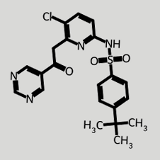 CC(C)(C)c1ccc(S(=O)(=O)Nc2ccc(Cl)c(CC(=O)c3cncnc3)n2)cc1